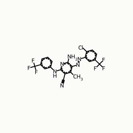 Cc1c(C#N)c(Nc2cccc(C(F)(F)F)c2)nc(N)c1/N=N/c1cc(C(F)(F)F)ccc1Cl